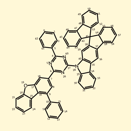 c1ccc(-c2nc(-c3cc(-c4ccccc4)c4c(c3)oc3ccccc34)nc(-n3c4ccccc4c4cc5c(cc43)C3(c4ccccc4-c4ccccc43)c3ccccc3-5)n2)cc1